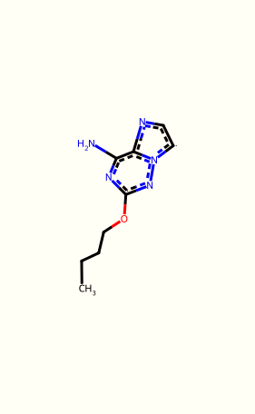 CCCCOc1nc(N)c2nc[c]n2n1